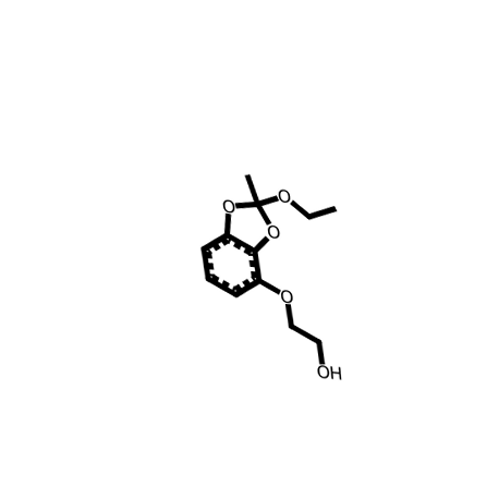 CCOC1(C)Oc2cccc(OCCO)c2O1